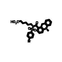 CN1c2ccccc2Cc2c(C(=O)N(CCCCCC(=O)O)S(=O)(=O)c3ccc(Br)cc3)cccc21